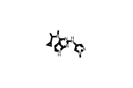 CC(C1CC1)N(C)c1nc(Nc2cnn(C)c2)nc2[nH]ccc12